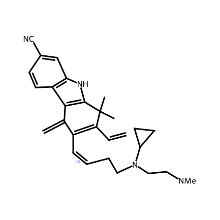 C=CC1=C(/C=C\CCN(CCNC)C2CC2)C(=C)c2c([nH]c3cc(C#N)ccc23)C1(C)C